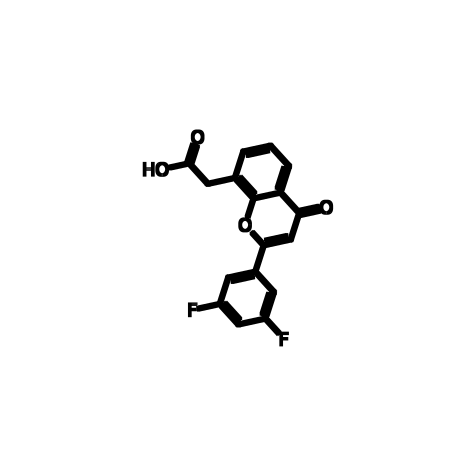 O=C(O)Cc1cccc2c(=O)cc(-c3cc(F)cc(F)c3)oc12